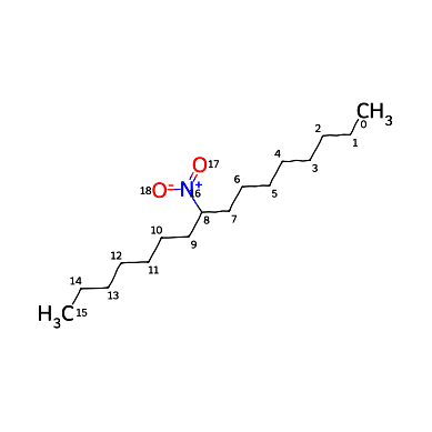 CCCCCCCCC(CCCCCCC)[N+](=O)[O-]